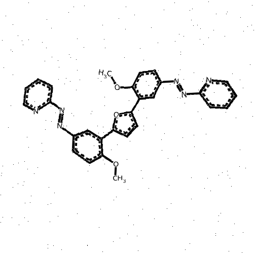 COc1ccc(N=Nc2ccccn2)cc1-c1ccc(-c2cc(N=Nc3ccccn3)ccc2OC)o1